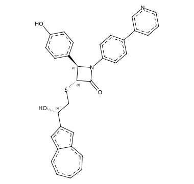 O=C1[C@H](SC[C@@H](O)c2cc3cccccc-3c2)[C@@H](c2ccc(O)cc2)N1c1ccc(-c2cccnc2)cc1